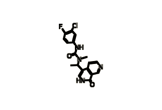 CC(c1c[nH]c(=O)c2cnccc12)N(C)C(=O)Nc1ccc(F)c(Cl)c1